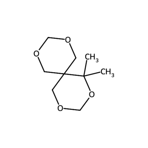 CC1(C)OCOCC12COCOC2